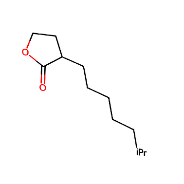 CC(C)CCCCCC1CCOC1=O